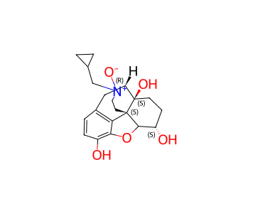 [O-][N+]1(CC2CC2)CC[C@]23c4c5ccc(O)c4OC2[C@@H](O)CC[C@@]3(O)[C@H]1C5